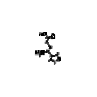 NC(CCC(=O)O)c1ccsc1